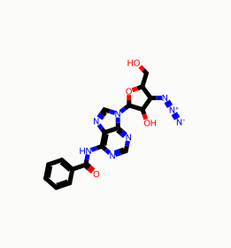 [N-]=[N+]=NC1C(CO)OC(n2cnc3c(NC(=O)c4ccccc4)ncnc32)C1O